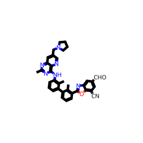 Cc1nc(Nc2cccc(-c3cccc(-c4nc5cc(C=O)cc(C#N)c5o4)c3C)c2C)c2ncc(CN3CCCC3)cc2n1